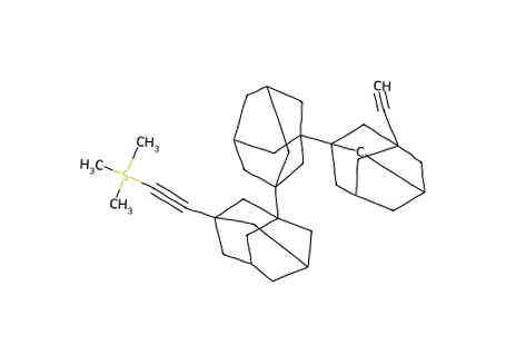 C#CC12CC3CC(C1)CC(C14CC5CC(C1)CC(C16CC7CC(CC(C#CS(C)(C)C)(C7)C1)C6)(C5)C4)(C3)C2